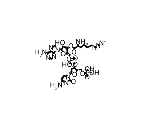 [N-]=[N+]=NCCCCC(N)C(=O)O[C@H]1[C@@H](O)[C@H](n2cnc3c(N)ncnc32)O[C@@H]1COP(=O)(O)O[C@H]1C[C@H](n2ccc(N)nc2=O)O[C@@H]1COP(=O)(O)O